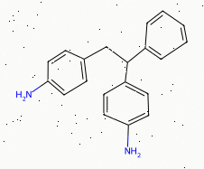 Nc1ccc(CC(c2ccccc2)c2ccc(N)cc2)cc1